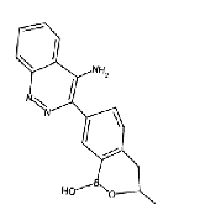 CC1Cc2ccc(-c3nnc4ccccc4c3N)cc2B(O)O1